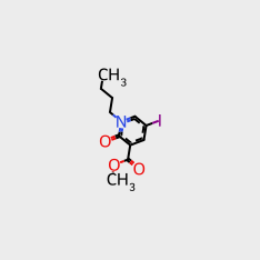 CCCCn1cc(I)cc(C(=O)OC)c1=O